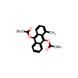 Cc1cccc2c(OC(=O)OCC(C)C)c3ccccc3c(OC(=O)OCC(C)C)c12